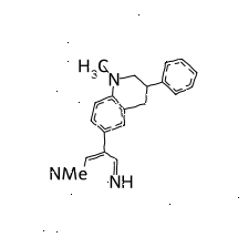 CN/C=C(\C=N)c1ccc2c(c1)CC(c1ccccc1)CN2C